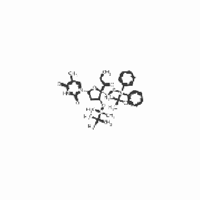 CCC(=O)[C@]1(CO[Si](c2ccccc2)(c2ccccc2)C(C)(C)C)O[C@@H](n2cc(C)c(=O)[nH]c2=O)C[C@@H]1O[Si](C)(C)C(C)(C)C